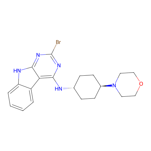 Brc1nc(N[C@H]2CC[C@H](N3CCOCC3)CC2)c2c(n1)[nH]c1ccccc12